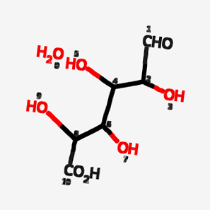 O.O=CC(O)C(O)C(O)C(O)C(=O)O